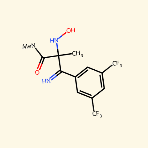 CNC(=O)C(C)(NO)C(=N)c1cc(C(F)(F)F)cc(C(F)(F)F)c1